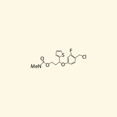 CNC(=O)OCCC(Oc1ccc(CCl)c(F)c1)c1cccs1